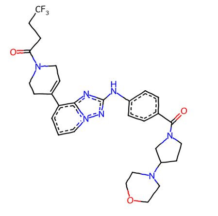 O=C(CCC(F)(F)F)N1CC=C(c2cccn3nc(Nc4ccc(C(=O)N5CCC(N6CCOCC6)C5)cc4)nc23)CC1